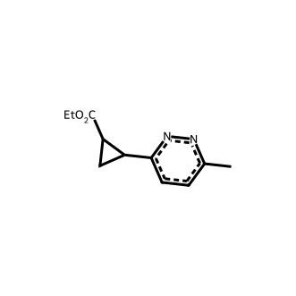 CCOC(=O)C1CC1c1ccc(C)nn1